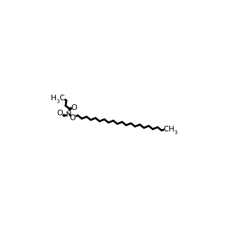 CCCCCCCCCCCCCCCCCCCCCON(C=O)C(=O)CCC